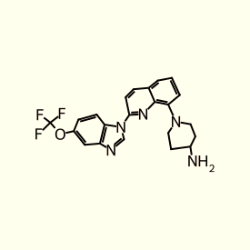 NC1CCN(c2cccc3ccc(-n4cnc5cc(OC(F)(F)F)ccc54)nc23)CC1